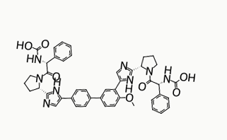 COc1ccc(-c2ccc(-c3cnc([C@@H]4CCCN4C(=O)[C@H](NC(=O)O)c4ccccc4)[nH]3)cc2)cc1-c1cnc([C@@H]2CCCN2C(=O)[C@H](NC(=O)O)c2ccccc2)[nH]1